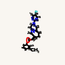 Cc1cccc(OCC2CCC3CN(c4ncc(F)cn4)CCN3C2)c1